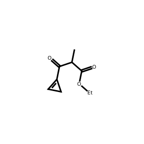 CCOC(=O)C(C)C(=O)C1=CC1